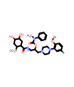 CC(C)Oc1ccc(F)cc1N1CCN(CC(CNC(=O)C2CC(O)C(O)CC2C(=O)O)OC(=O)N(C)c2ccccc2)CC1